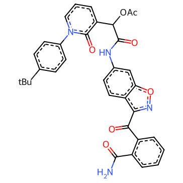 CC(=O)OC(C(=O)Nc1ccc2c(C(=O)c3ccccc3C(N)=O)noc2c1)c1cccn(-c2ccc(C(C)(C)C)cc2)c1=O